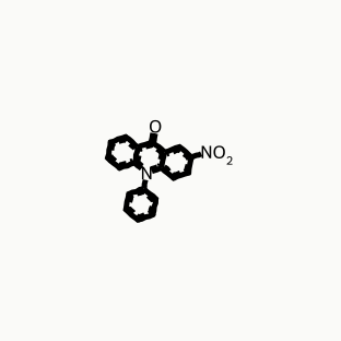 O=c1c2ccccc2n(-c2ccccc2)c2ccc([N+](=O)[O-])cc12